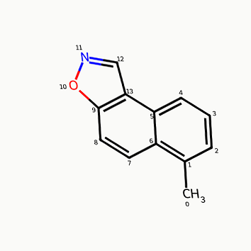 Cc1cccc2c1ccc1oncc12